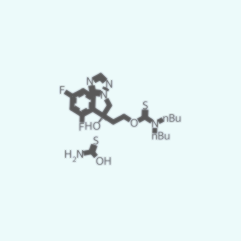 CCCCN(CCCC)C(=S)OCC[C@](O)(Cn1cncn1)c1ccc(F)cc1F.NC(O)=S